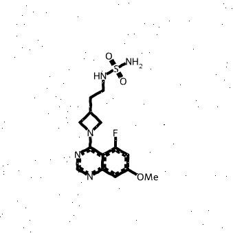 COc1cc(F)c2c(N3CC(CCNS(N)(=O)=O)C3)ncnc2c1